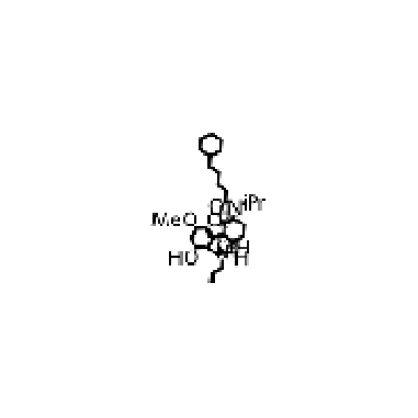 C=CCN1CC[C@]23c4c5c(O)cc(OC)c4O[C@H]2[C@@H](N(C(=O)CCCCC2CCCCC2)C(C)C)CC[C@H]3[C@H]1C5